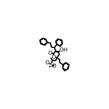 CC(CC1(CCc2ccccc2)CC(O)=C(C(CCc2ccccc2)c2ccccc2)C(=O)O1)S(C)(=O)=O